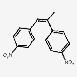 CC(=Cc1ccc([N+](=O)[O-])cc1)c1ccc([N+](=O)[O-])cc1